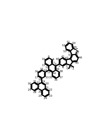 CC1(C)c2cc(-c3c4ccccc4c(-c4cccc(-c5cc6ccccc6c6ccccc56)c4)c4ccccc34)ccc2-c2c1ccc1sc3ccccc3c21